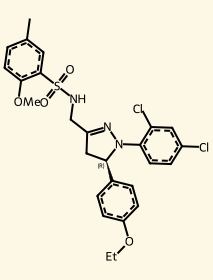 CCOc1ccc([C@H]2CC(CNS(=O)(=O)c3cc(C)ccc3OC)=NN2c2ccc(Cl)cc2Cl)cc1